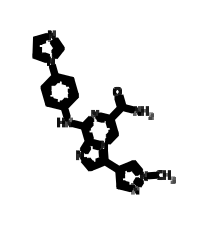 Cn1cc(-c2cnc3c(Nc4ccc(-n5ccnc5)cc4)nc(C(N)=O)cn23)cn1